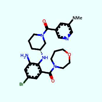 CNc1cncc(C(=O)N2CCC[C@@H](Nc3c(N)cc(Br)cc3C(=O)N3CCCOCC3)C2)c1